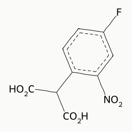 O=C(O)C(C(=O)O)c1ccc(F)cc1[N+](=O)[O-]